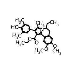 CCOC(=O)c1c(-c2cc(C)c(O)c(C)c2)c(C)n2c1-c1cc(OC)c(OC)cc1CC2CC